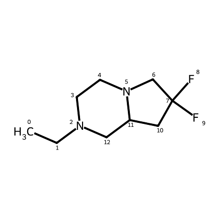 CCN1CCN2CC(F)(F)CC2C1